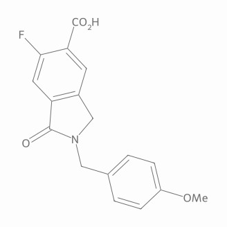 COc1ccc(CN2Cc3cc(C(=O)O)c(F)cc3C2=O)cc1